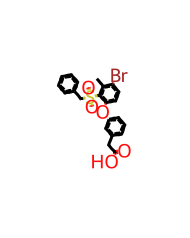 Cc1c(Br)ccc(Oc2cccc(CC(=O)O)c2)c1S(=O)(=O)Cc1ccccc1